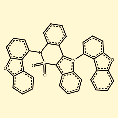 O=S1(=O)c2c(n(-c3cccc4oc5ccccc5c34)c3ccccc23)-c2ccccc2N1c1cccc2oc3ccccc3c12